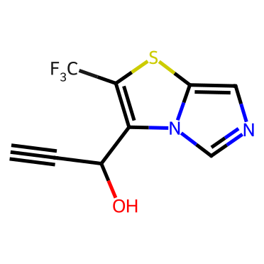 C#CC(O)c1c(C(F)(F)F)sc2cncn12